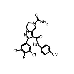 N#Cc1ccc(NC(=O)c2c(-c3cc(Cl)c(F)c(Cl)c3)nn3c2CN(C(N)=O)CC3)cc1